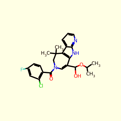 CC(C)OC(O)C1=CN(C(=O)c2ccc(F)cc2Cl)CC(C)(C)c2c1[nH]c1ncccc21